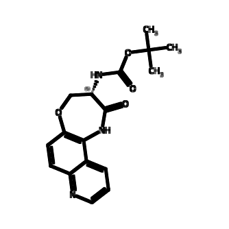 CC(C)(C)OC(=O)N[C@H]1COc2ccc3ncccc3c2NC1=O